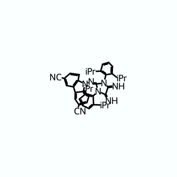 CC(C)c1cccc(C(C)C)c1N1C(=N)C(=N)N(c2c(C(C)C)cccc2C(C)C)C1=Nn1c2ccc(C#N)cc2c2cc(C#N)ccc21